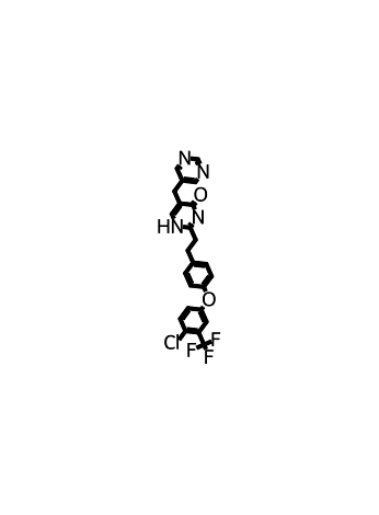 O=c1nc(CCc2ccc(Oc3ccc(Cl)c(C(F)(F)F)c3)cc2)[nH]cc1Cc1cncnc1